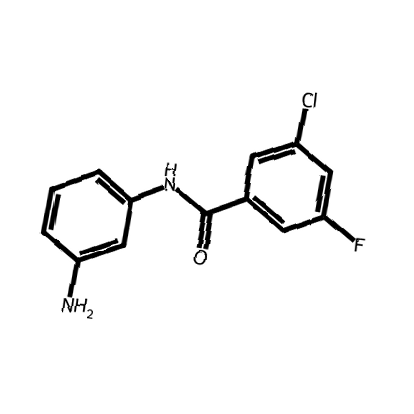 Nc1cccc(NC(=O)c2cc(F)cc(Cl)c2)c1